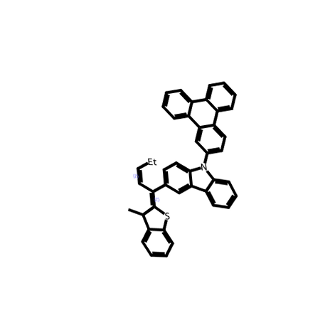 CC/C=C\C(=C1\Sc2ccccc2C1C)c1ccc2c(c1)c1ccccc1n2-c1ccc2c3ccccc3c3ccccc3c2c1